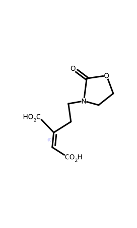 O=C(O)/C=C(\CCN1CCOC1=O)C(=O)O